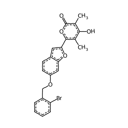 Cc1c(-c2cc3ccc(OCc4ccccc4Br)cc3o2)oc(=O)c(C)c1O